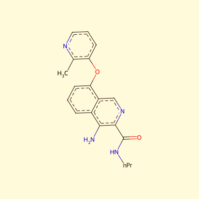 CCCNC(=O)c1ncc2c(Oc3cccnc3C)cccc2c1N